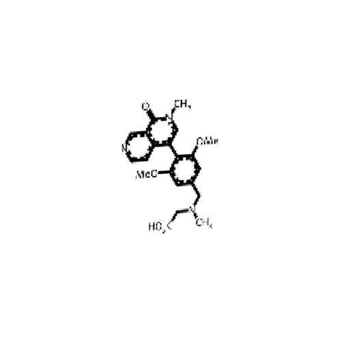 COc1cc(CN(C)CC(=O)O)cc(OC)c1-c1cn(C)c(=O)c2cnccc12